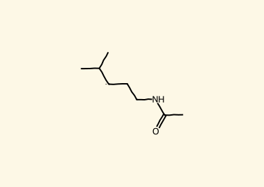 CC(=O)NCC[CH]C(C)C